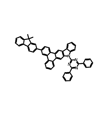 CC1(C)c2ccccc2-c2ccc(-c3ccc4c(c3)c3ccccc3c3cc5c(cc43)c3ccccc3n5-c3nc(-c4ccccc4)nc(-c4ccccc4)n3)cc21